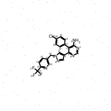 Nc1ncnc(-c2cnn(Cc3ccc(C(F)(F)F)nc3)c2)c1-c1ccc(Cl)cc1